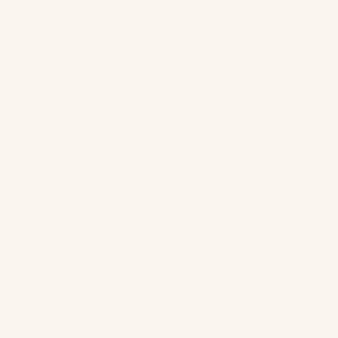 COc1ccccc1C[S@@+]([O-])c1ccccc1